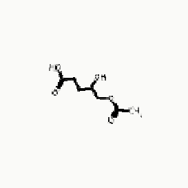 CC(=O)OCC(O)CCC(=O)O